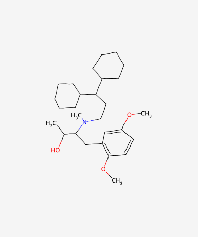 COc1ccc(OC)c(CC(C(C)O)N(C)CCC(C2CCCCC2)C2CCCCC2)c1